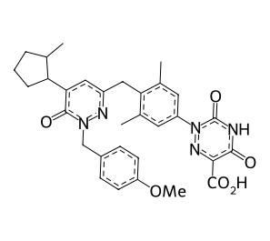 COc1ccc(Cn2nc(Cc3c(C)cc(-n4nc(C(=O)O)c(=O)[nH]c4=O)cc3C)cc(C3CCCC3C)c2=O)cc1